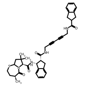 C[C@H]1CCSC2CC(C)(C)[C@@H](C(=O)N[C@H]3c4ccccc4C[C@H]3C(=O)NCC#CC#CCNC(=O)C3Cc4ccccc4C3)N2C1=O